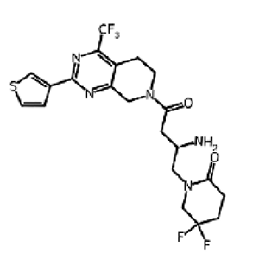 N[C@H](CC(=O)N1CCc2c(nc(-c3ccsc3)nc2C(F)(F)F)C1)CN1CC(F)(F)CCC1=O